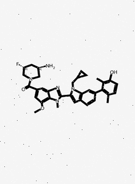 COc1cc(C(=O)N2C[C@H](N)C[C@@H](F)C2)cc2nc(-c3cc4ccc(-c5c(C)ccc(O)c5C)cc4n3CC3CC3)n(C)c12